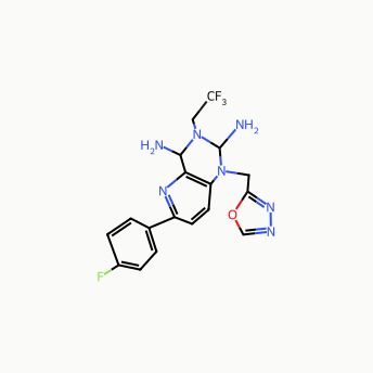 NC1c2nc(-c3ccc(F)cc3)ccc2N(Cc2nnco2)C(N)N1CC(F)(F)F